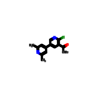 COC(=O)c1cc(-c2cc(C)nc(C)c2)cnc1Cl